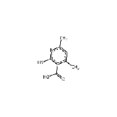 Cc1cc(C)c(C(=O)O)c(S)n1